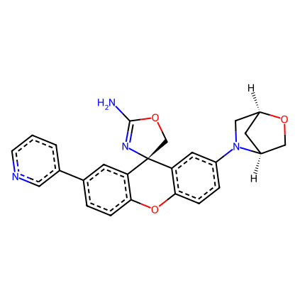 NC1=N[C@@]2(CO1)c1cc(-c3cccnc3)ccc1Oc1ccc(N3C[C@@H]4C[C@H]3CO4)cc12